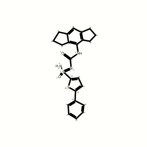 N[S@](=O)(=NC(=O)Nc1c2c(cc3c1CCC3)CCC2)c1ccc(-c2ccccc2)s1